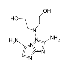 Nc1nc2ncc(N)n2n1N(CCO)CCO